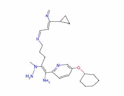 C=N/C(=C\C=N/CCC/C(=C(/N)c1ccc(OC2CCCCC2)cn1)N(C)N)C1CC1